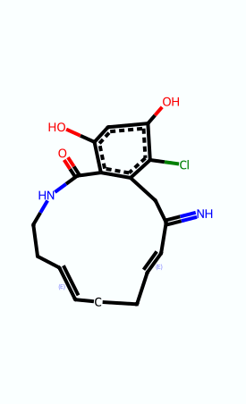 N=C1/C=C/CC/C=C/CCNC(=O)c2c(O)cc(O)c(Cl)c2C1